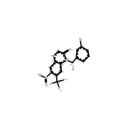 C[C@@H](c1cccc(Cl)c1)n1c(=O)cnc2cc([N+](=O)[O-])c(C(F)(F)F)cc21